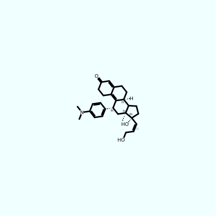 CN(C)c1ccc([C@H]2C[C@@]3(C)C(CC[C@@]3(O)/C=C\CO)[C@@H]3CCC4=CC(=O)CCC4=C32)cc1